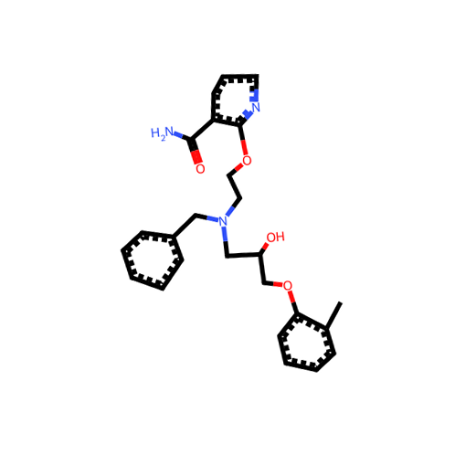 Cc1ccccc1OCC(O)CN(CCOc1ncccc1C(N)=O)Cc1ccccc1